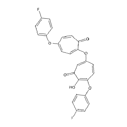 O=c1ccc(Oc2ccc(F)cc2)ccc1Oc1ccc(Oc2ccc(F)cc2)c(O)c(=O)c1